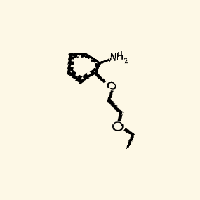 CCOCCOc1ccccc1N